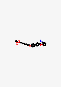 C=CC(=O)OCCCCCCCCOc1ccc(-c2ccc(COc3ccccc3C#N)cc2)cc1